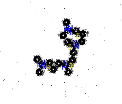 c1ccc(-c2nc(-c3ccccc3)nc(-c3ccc4c(c3)sc3c(-c5cccc(-c6nc(-c7ccc(-c8ccc9sc%10c(-c%11ccccc%11)nc(-c%11cccc(-c%12cccc%13sc%14c(-c%15nc(-c%16ccccc%16)nc(-c%16ccccc%16)n%15)cccc%14c%12%13)c%11)nc%10c9c8)cc7)c7sc8ccccc8c7n6)c5)cccc34)n2)cc1